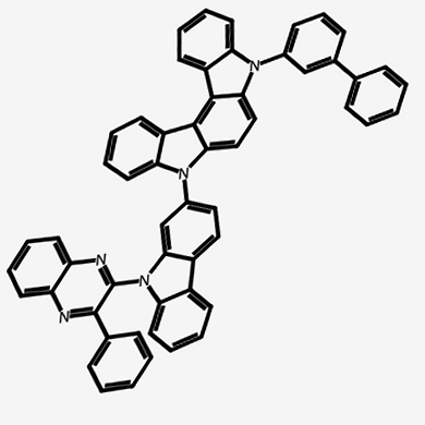 c1ccc(-c2cccc(-n3c4ccccc4c4c5c6ccccc6n(-c6ccc7c8ccccc8n(-c8nc9ccccc9nc8-c8ccccc8)c7c6)c5ccc43)c2)cc1